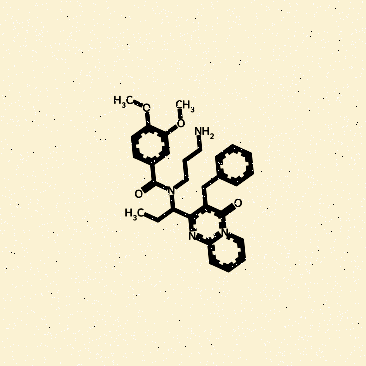 CCC(c1nc2ccccn2c(=O)c1Cc1ccccc1)N(CCCN)C(=O)c1ccc(OC)c(OC)c1